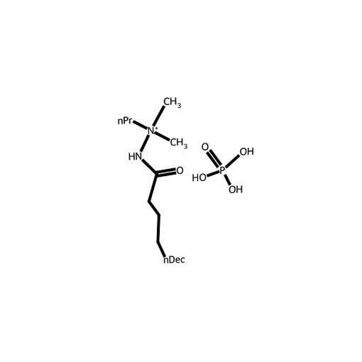 CCCCCCCCCCCCCC(=O)N[N+](C)(C)CCC.O=P(O)(O)O